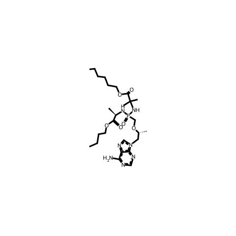 CCCCCCOC(=O)C(C)(C)NP(=O)(CO[C@H](C)Cn1cnc2c(N)ncnc21)N[C@H](C)C(=O)OCCCC